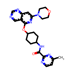 Cc1ccnc(C(=O)NC2CCC(Oc3nc(N4CCOCC4)cc4ncncc34)CC2)n1